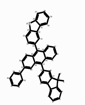 CC1(C)c2ccccc2-c2ccc(-c3c4ccccc4c(-c4ccc5sc6ccccc6c5c4)c4ccc(-c5ccccc5)cc34)cc21